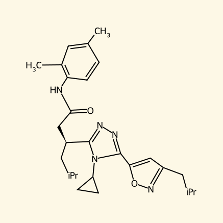 Cc1ccc(NC(=O)C[C@H](CC(C)C)c2nnc(-c3cc(CC(C)C)no3)n2C2CC2)c(C)c1